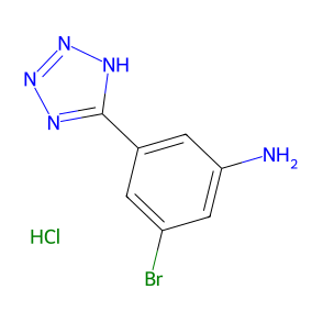 Cl.Nc1cc(Br)cc(-c2nnn[nH]2)c1